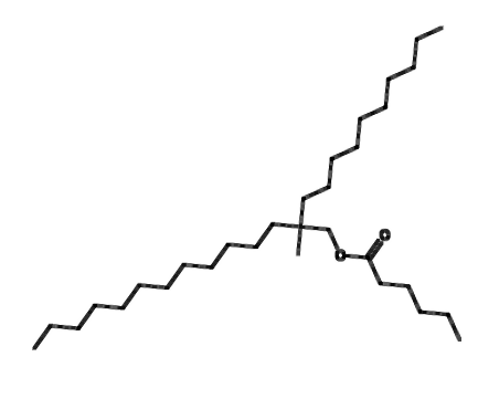 CCCCCCCCCCCCC(C)(CCCCCCCCCC)COC(=O)CCCCC